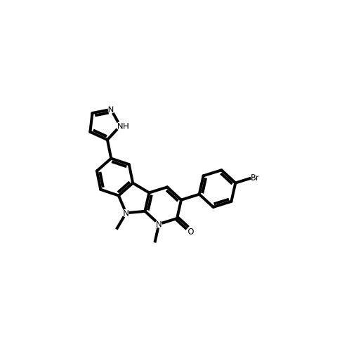 Cn1c(=O)c(-c2ccc(Br)cc2)cc2c3cc(-c4ccn[nH]4)ccc3n(C)c21